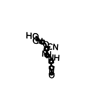 N#Cc1cc(-c2nccc(Nc3ccc(C4CCN(C5COC5)CC4)cc3)n2)ccc1OC1CCN(C(=O)CO)CC1